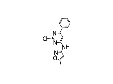 Cc1cc(Nc2cc(-c3ccccc3)nc(Cl)n2)no1